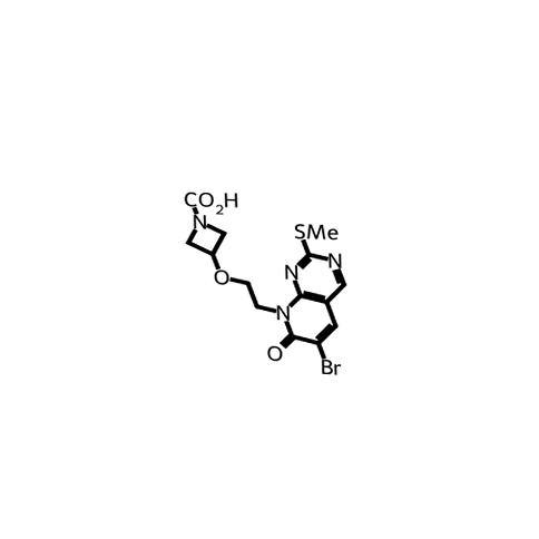 CSc1ncc2cc(Br)c(=O)n(CCOC3CN(C(=O)O)C3)c2n1